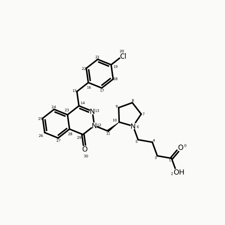 O=C(O)CCCN1CCC[C@@H]1Cn1nc(Cc2ccc(Cl)cc2)c2ccccc2c1=O